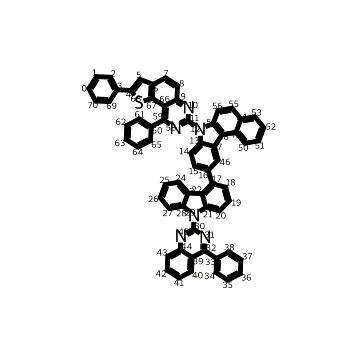 c1ccc(-c2cc3ccc4nc(-n5c6ccc(-c7cccc8c7c7ccccc7n8-c7nc(-c8ccccc8)c8ccccc8n7)cc6c6c7ccccc7ccc65)nc(-c5ccccc5)c4c3s2)cc1